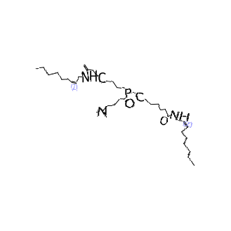 C=C(CCCCCCCP(CCCCCCCC(=O)NC/C=C\CCCCCC)C(=O)CCCN(C)C)NC/C=C\CCCCCC